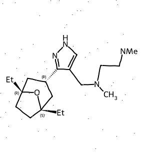 CC[C@]12CC[C@](CC)(C[C@H](c3n[nH]cc3CN(C)CCNC)C1)O2